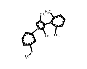 COc1cccc(-n2cc(C)c(-c3c(C)cccc3C)c2C)c1